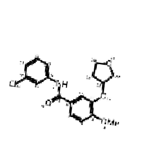 COc1ccc(C(=O)Nc2cccc(Cl)c2)cc1OC1CCOC1